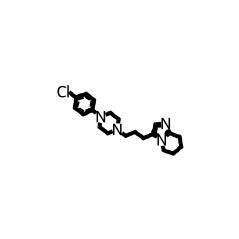 Clc1ccc(N2CCN(CCCc3cnc4n3CCCC4)CC2)cc1